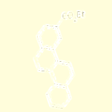 CCOC(=O)c1ccc2ccc3c4ccccc4ccc3c2c1